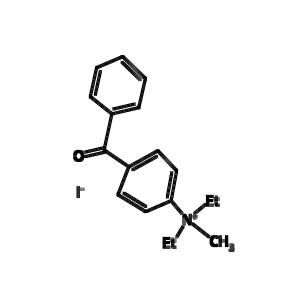 CC[N+](C)(CC)c1ccc(C(=O)c2ccccc2)cc1.[I-]